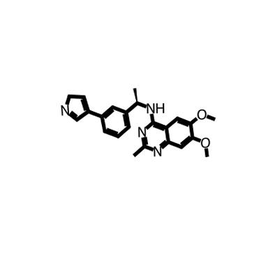 COc1cc2nc(C)nc(N[C@H](C)c3cccc(C4=CCN=C4)c3)c2cc1OC